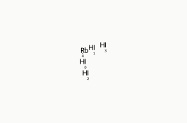 I.I.I.I.[Rb]